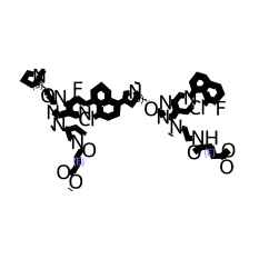 COC(=O)/C=C/C(=O)NCCN(C)c1nc(OC[C@@H]2CC(c3ccc(Cl)c4c(-c5ncc6c(N(C)C7CCN(C(=O)/C=C/C(=O)OC)C7)nc(OC[C@@H]7CCCN7C)nc6c5F)cccc34)CN2C)nc2c1CCN(c1cccc3ccc(F)c(Cl)c13)C2